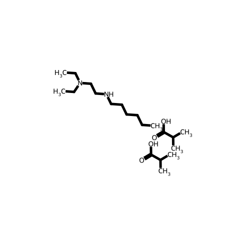 CC(C)C(=O)O.CC(C)C(=O)O.CCCCCCNCCN(CC)CC